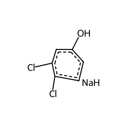 Oc1ccc(Cl)c(Cl)c1.[NaH]